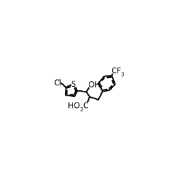 O=C(O)C(Cc1ccc(C(F)(F)F)cc1)C(O)c1ccc(Cl)s1